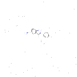 N#Cc1ccc2[nH]c(-c3ccc(F)cc3)c(CCCC(=O)O)c2c1